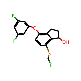 OC1CCc2c(Oc3cc(F)cc(F)c3)ccc(SCF)c21